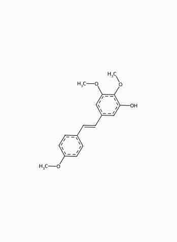 COc1ccc(C=Cc2cc(O)c(OC)c(OC)c2)cc1